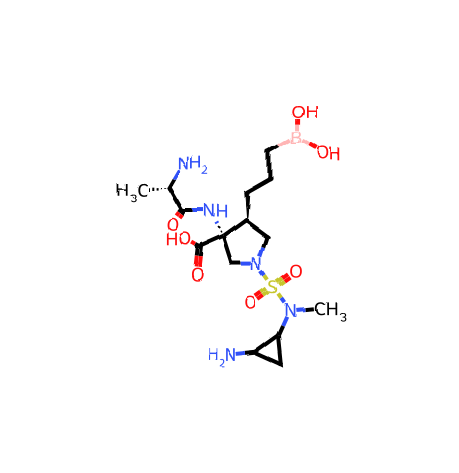 C[C@H](N)C(=O)N[C@@]1(C(=O)O)CN(S(=O)(=O)N(C)C2CC2N)C[C@@H]1CCCB(O)O